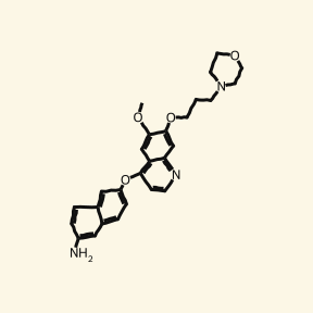 COc1cc2c(Oc3ccc4cc(N)ccc4c3)ccnc2cc1OCCCN1CCOCC1